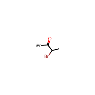 CC(C)C(=O)C(C)Br